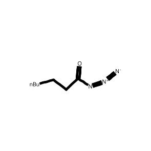 CCCCCCC(=O)N=[N+]=[N-]